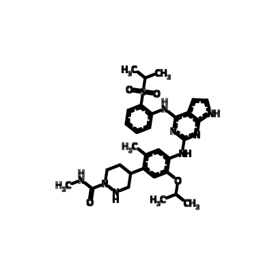 CNC(=O)N1CCC(c2cc(OC(C)C)c(Nc3nc(Nc4ccccc4S(=O)(=O)C(C)C)c4cc[nH]c4n3)cc2C)CN1